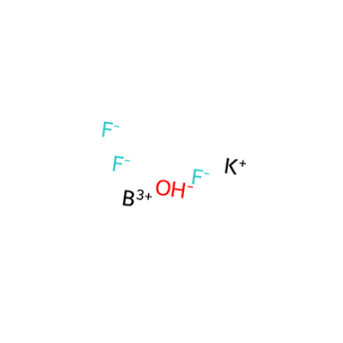 [B+3].[F-].[F-].[F-].[K+].[OH-]